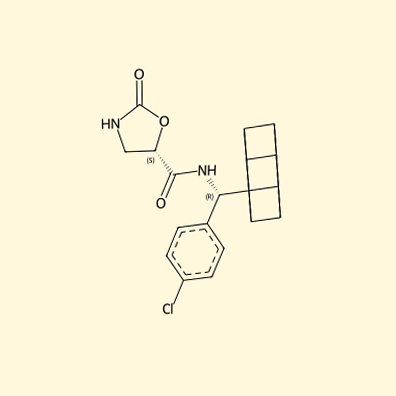 O=C1NC[C@@H](C(=O)N[C@@H](c2ccc(Cl)cc2)C23C4C5C6C4C2C6C53)O1